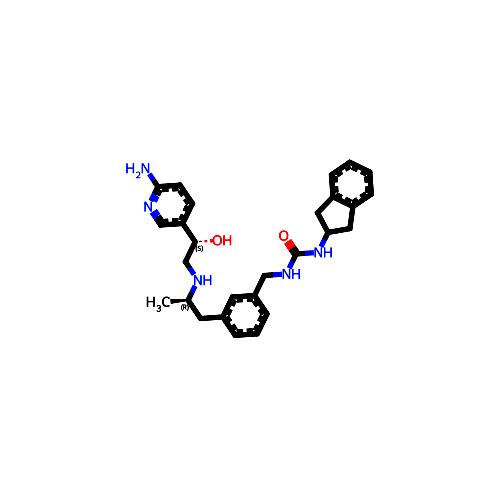 C[C@H](Cc1cccc(CNC(=O)NC2Cc3ccccc3C2)c1)NC[C@@H](O)c1ccc(N)nc1